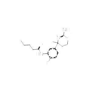 CCCCC(=O)Nc1cc(C2(C)CCSC(N)=N2)ccc1F